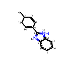 CC1C=CC(c2nc3ccccc3[nH]2)=CC1